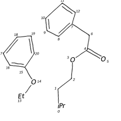 CC(C)CCOC(=O)Cc1ccccc1.CCOc1ccccc1